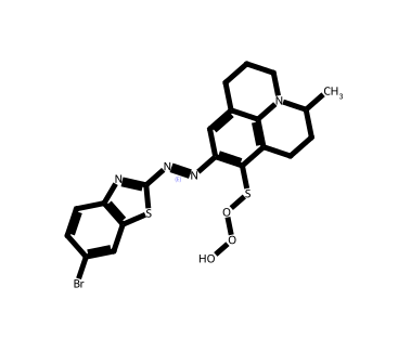 CC1CCc2c(SOOO)c(/N=N/c3nc4ccc(Br)cc4s3)cc3c2N1CCC3